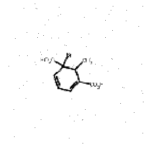 CC1C(C(=O)O)=CC=CC1(Br)C(=O)O